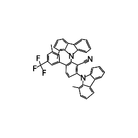 Cc1cc(-c2ccc(-n3c4ccccc4c4cccc(C)c43)c(C#N)c2-n2c3ccccc3c3cccc(C)c32)cc(C(F)(F)F)c1